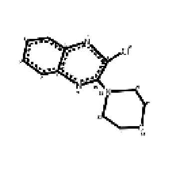 Clc1nc2ccccc2nc1N1CCOCC1